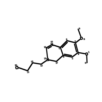 COc1cc2c(cc1OC)N=CN(CCCCl)C2